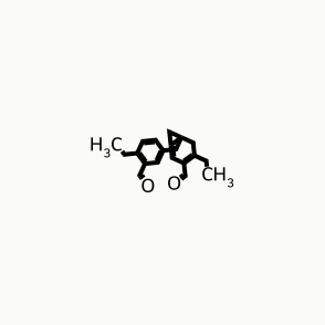 CCC1=C(C=O)C=C2CC2(Cc2ccc(CC)c(C=O)c2)C1